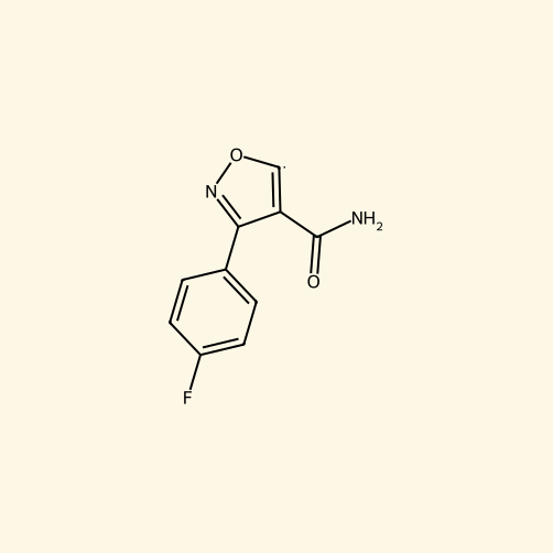 NC(=O)c1[c]onc1-c1ccc(F)cc1